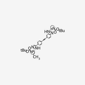 CC1=C[C@@H](c2ncc(-c3ccc(C#Cc4ccc5nc([C@@H]6CCCN6C(=O)OC(C)(C)C)[nH]c5c4)cc3)[nH]2)N(C(=O)OC(C)(C)C)C1